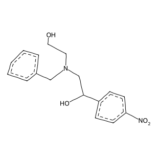 O=[N+]([O-])c1ccc(C(O)CN(CCO)Cc2ccccc2)cc1